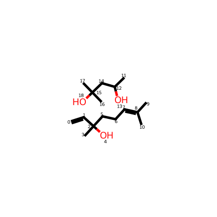 C=CC(C)(O)CCC=C(C)C.CC(O)CC(C)(C)O